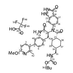 COc1ccc(-c2ccc(C[C@@H](C(N)=O)N(c3ccc4c(=O)[nH][nH]c4c3)C(=O)[C@H]3CC[C@H](CNC(=O)OC(C)(C)C)CC3)cc2)c(C)n1.O=C(O)C(F)(F)F